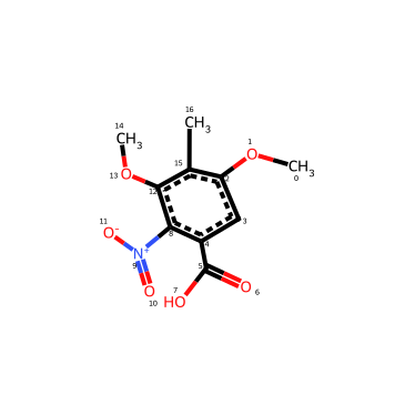 COc1cc(C(=O)O)c([N+](=O)[O-])c(OC)c1C